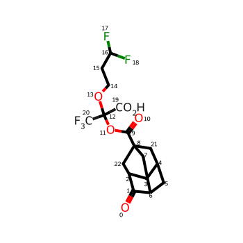 O=C1C2CC3CC1CC(C(=O)OC(OCCC(F)F)(C(=O)O)C(F)(F)F)(C3)C2